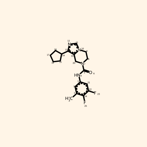 Cc1cc(NC(=O)N2CCn3cnc(C4CCCC4)c3C2)cc(F)c1F